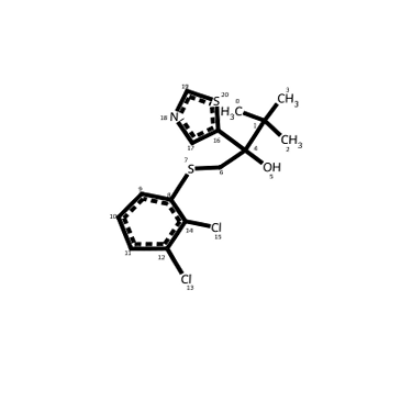 CC(C)(C)C(O)(CSc1cccc(Cl)c1Cl)c1cncs1